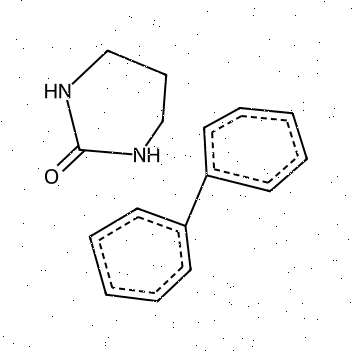 O=C1NCCCN1.c1ccc(-c2ccccc2)cc1